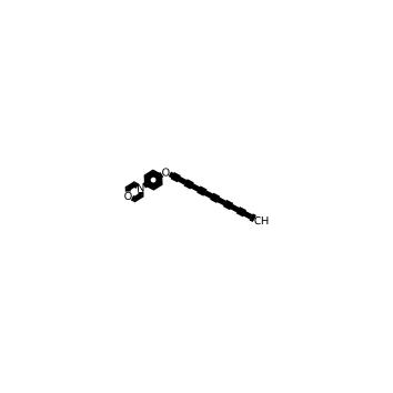 C#CC#CC#CC#CC#CC#CC#COc1ccc(N2CCOCC2)cc1